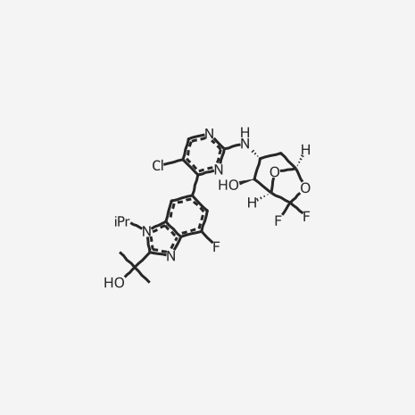 CC(C)n1c(C(C)(C)O)nc2c(F)cc(-c3nc(N[C@@H]4C[C@@H]5O[C@H]([C@H]4O)C(F)(F)O5)ncc3Cl)cc21